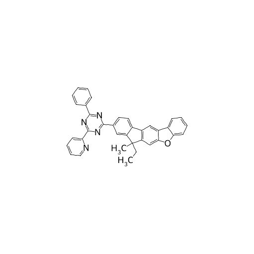 CCC1(C)c2cc(-c3nc(-c4ccccc4)nc(-c4ccccn4)n3)ccc2-c2cc3c(cc21)oc1ccccc13